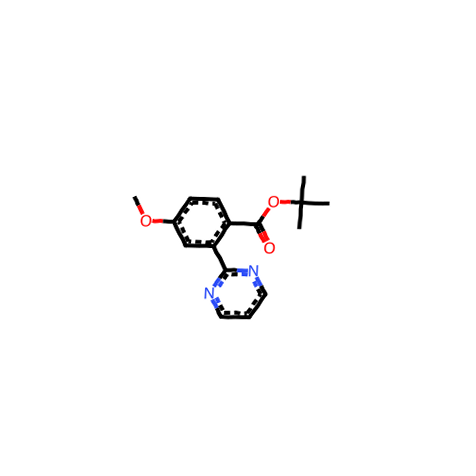 COc1ccc(C(=O)OC(C)(C)C)c(-c2ncccn2)c1